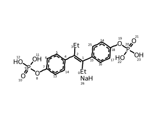 CC/C(=C(/CC)c1ccc(OP(=O)(O)O)cc1)c1ccc(OP(=O)(O)O)cc1.[NaH]